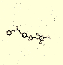 CCc1nc(N)nc(N)c1OCc1coc(-c2ccc(OCC(=O)OCc3ccccc3)cc2)n1